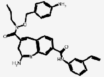 C=Cc1cccc(NC(=O)c2ccc3c(c2)N=C(N)CC(C(=O)N(CCC)OCc2ccc(N)cc2)=C3)c1